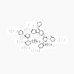 CC(C)(C)c1cc(C(C)(C)C)c(-c2cc(-c3ccc4c(c3)c3cc(-c5cc(-c6c(C(C)(C)C)cc(C(C)(C)C)cc6C(C)(C)C)cc(-c6c(C(C)(C)C)cc(C(C)(C)C)cc6C(C)(C)C)c5)ccc3n4-c3ccccc3C(F)(F)F)cc(-c3c(C(C)(C)C)cc(C(C)(C)C)cc3C(C)(C)C)c2)c(C(C)(C)C)c1